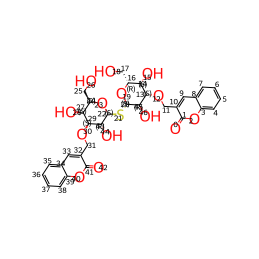 O=c1oc2ccccc2cc1CO[C@H]1[C@@H](O)[C@@H](CO)O[C@@H](S[C@@H]2O[C@H](CO)[C@H](O)[C@H](OCc3cc4ccccc4oc3=O)[C@H]2O)[C@@H]1O